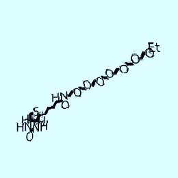 [CH2]COCCOCCOCCOCCOCCOCCOCCNC(=O)CCCC[C@@H]1SC[C@@H]2NC(=O)N[C@@H]21